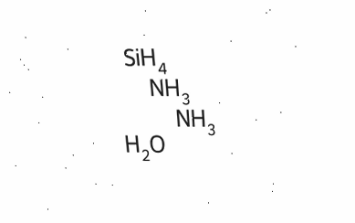 N.N.O.[SiH4]